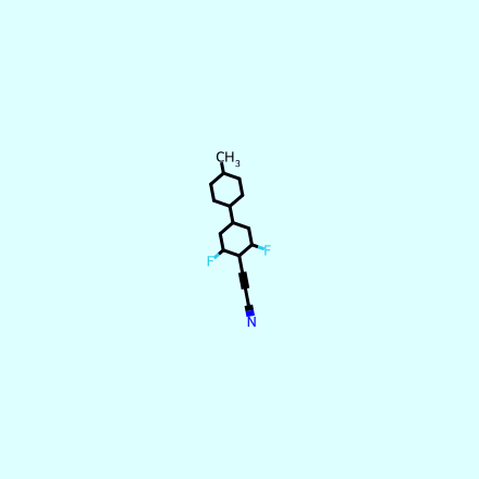 CC1CCC(C2CC(F)C(C#CC#N)C(F)C2)CC1